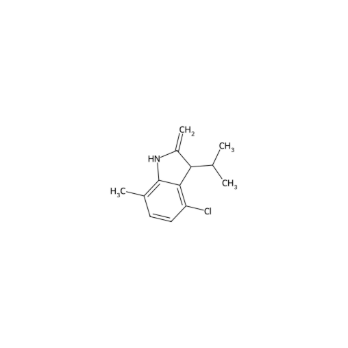 C=C1Nc2c(C)ccc(Cl)c2C1C(C)C